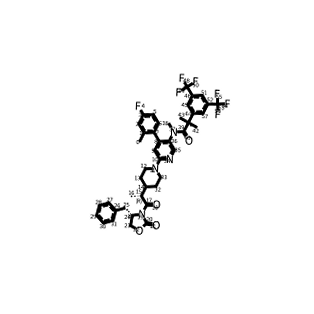 Cc1cc(F)ccc1-c1cc(N2CCC([C@@H](C)C(=O)N3C(=O)OC[C@@H]3Cc3ccccc3)CC2)ncc1N(C)C(=O)C(C)(C)c1cc(C(F)(F)F)cc(C(F)(F)F)c1